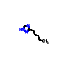 CCCCCc1nc[nH]n1